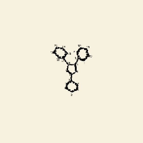 C1=C(c2ccccc2)C=C(c2ccccc2)C1c1ccccc1